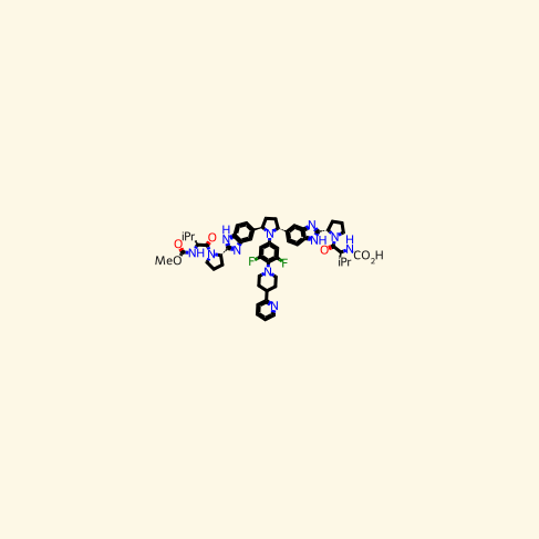 COC(=O)N[C@H](C(=O)N1CCC[C@H]1c1nc2cc([C@H]3CC[C@H](c4ccc5[nH]c([C@@H]6CCCN6C(=O)[C@@H](NC(=O)O)C(C)C)nc5c4)N3c3cc(F)c(N4CCC(c5ccccn5)CC4)c(F)c3)ccc2[nH]1)C(C)C